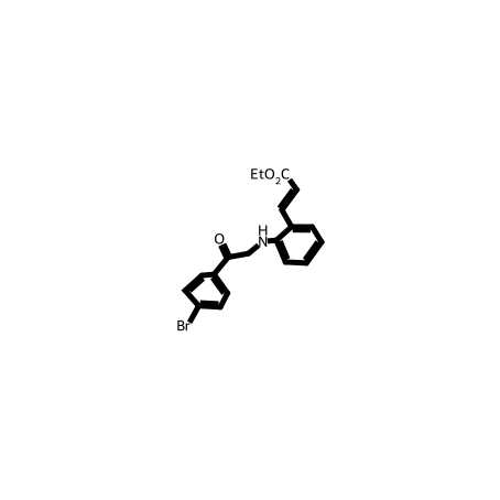 CCOC(=O)/C=C/c1ccccc1NCC(=O)c1ccc(Br)cc1